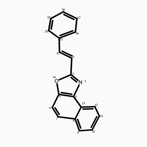 C(=C\c1nc2c(ccc3ccccc32)o1)/c1ccccc1